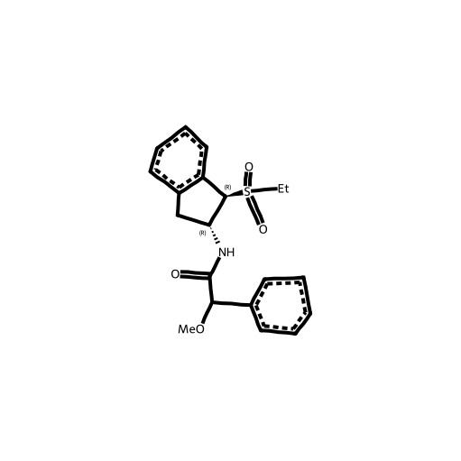 CCS(=O)(=O)[C@@H]1c2ccccc2C[C@H]1NC(=O)C(OC)c1ccccc1